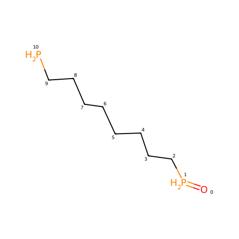 O=[PH2]CCCCCCCCP